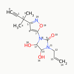 C#CC(C)(C)c1cc(N2C(=O)N(CC=C)C(O)C2O)on1